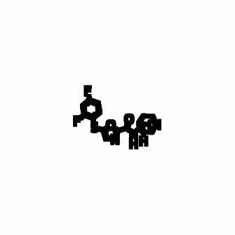 O=C(N[C@H]1CN2CCC1CC2)c1ncc(Sc2ccc(F)cc2F)o1